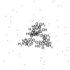 CO[C@@H]1[C@H](OCOC[C@H]2O[C@@H](n3cnc4c(=O)[nH]c(N)nc43)[C@H](O)[C@@H]2O)[C@@H](COP(=O)(O)OP(=O)(O)OP(=O)([O-])OC[C@H]2O[C@@H](n3c[n+](C)c4c(=O)[nH]c(N)nc43)[C@H](O)[C@@H]2CC(=O)N(C)C)O[C@H]1n1cnc2c(N)ncnc21